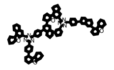 c1ccc(-c2nc(-c3ccc(-c4ccc5ccc(-c6cccc7oc8ccccc8c67)cc5c4)cc3)nc(-c3cc4ccccc4c4c3oc3c(-c5cc(-c6ccc(-c7nc(-c8ccc(-c9cccc%10oc%11ccccc%11c9%10)cc8)nc(-c8cc9ccccc9c9c8oc8ccccc89)n7)cc6)c6ccccc6c5)cccc34)n2)cc1